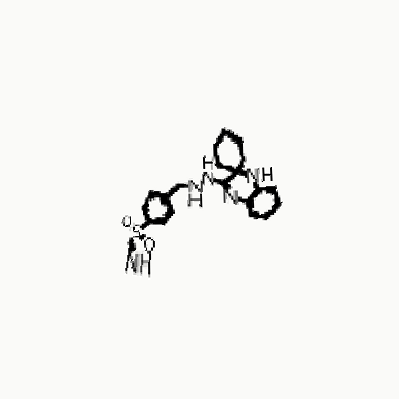 N=CS(=O)(=O)c1ccc(CNNC2=Nc3ccccc3NC23CCCCC3)cc1